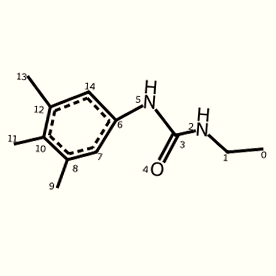 CCNC(=O)Nc1cc(C)c(C)c(C)c1